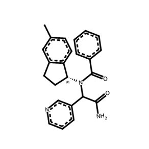 Cc1ccc2c(c1)CC[C@H]2N(C(=O)c1ccccc1)C(C(N)=O)c1cccnc1